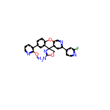 COc1ncccc1-c1ccc2c(c1)C1(COC(N)=N1)c1cc(-c3ccnc(F)c3)ncc1O2